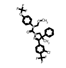 COCN(C(=O)N1CC(C)(c2ccccc2)C(c2ccc(C(F)(F)F)c(Cl)c2)=N1)c1ccc(OC(F)(F)F)cc1